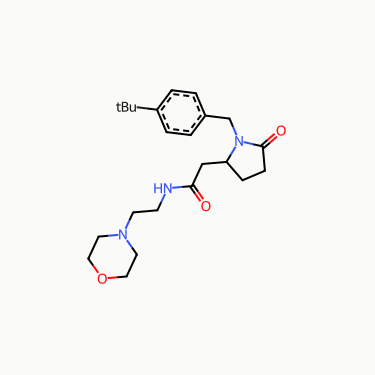 CC(C)(C)c1ccc(CN2C(=O)CCC2CC(=O)NCCN2CCOCC2)cc1